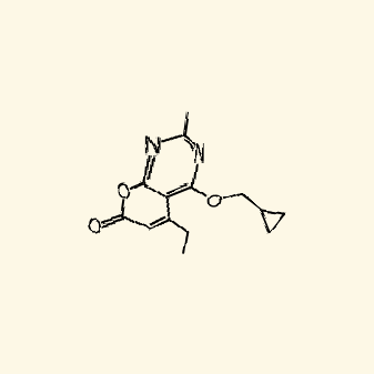 CCc1cc(=O)oc2nc(C)nc(OCC3CC3)c12